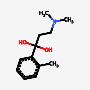 Cc1ccccc1C(O)(O)CCN(C)C